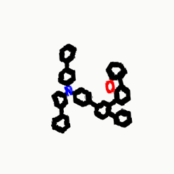 c1ccc(-c2ccc(N(c3ccc(-c4ccc(-c5ccccc5)c(-c5cccc6c5oc5ccccc56)c4)cc3)c3cccc(-c4ccccc4)c3)cc2)cc1